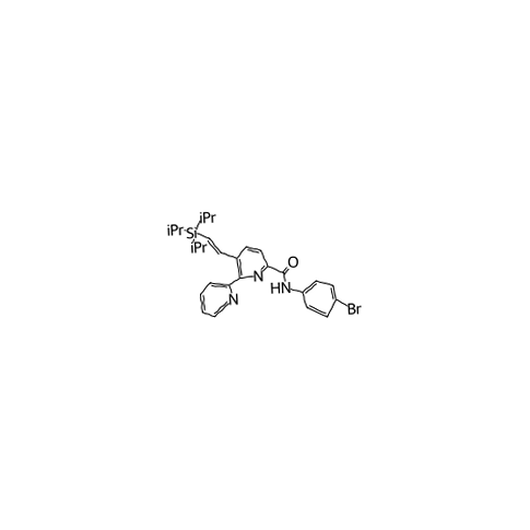 CC(C)[Si](/C=C/c1ccc(C(=O)Nc2ccc(Br)cc2)nc1-c1ccccn1)(C(C)C)C(C)C